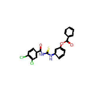 O=C(NC(=S)Nc1cccc(OC(=O)c2ccccc2)c1)c1ccc(Cl)c(Cl)c1